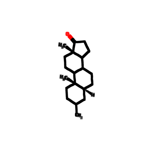 CC1CC[C@]2(C)C3CC[C@]4(C)C(=O)CCC4C3CC[C@H]2C1